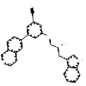 N#Cc1cc(OC[C@@H](N)Cc2c[nH]c3ccccc23)cc(-c2ccc3cnccc3c2)c1